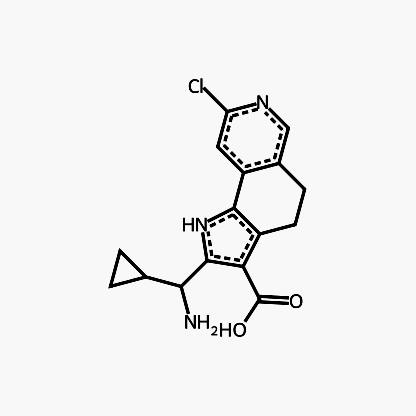 NC(c1[nH]c2c(c1C(=O)O)CCc1cnc(Cl)cc1-2)C1CC1